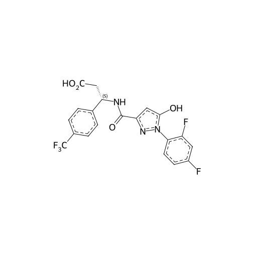 O=C(O)C[C@H](NC(=O)c1cc(O)n(-c2ccc(F)cc2F)n1)c1ccc(C(F)(F)F)cc1